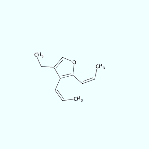 C/C=C\c1occ(CC)c1/C=C\C